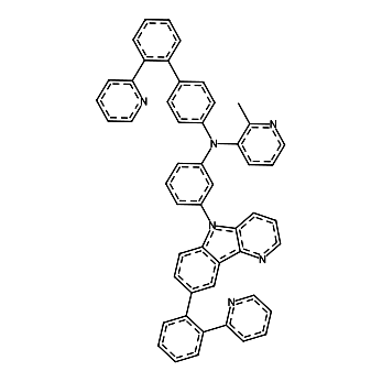 Cc1ncccc1N(c1ccc(-c2ccccc2-c2ccccn2)cc1)c1cccc(-n2c3ccc(-c4ccccc4-c4ccccn4)cc3c3ncccc32)c1